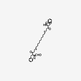 O=CNC(Cc1ccccc1)C(=O)CCSCCCCCCCCCCSCCC(=O)C(Cc1ccccc1)NC=O